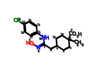 CC1(C(=O)O)CCC(CC(=NO)Nc2ccc(Cl)cc2)CC1